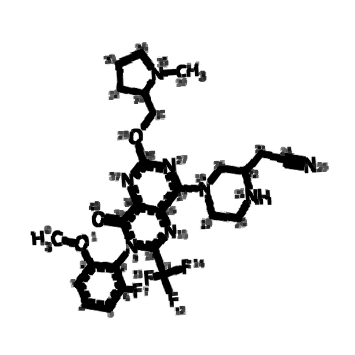 COc1cccc(F)c1-n1c(C(F)(F)F)nc2c(N3CCNC(CC#N)C3)nc(OCC3CCCN3C)nc2c1=O